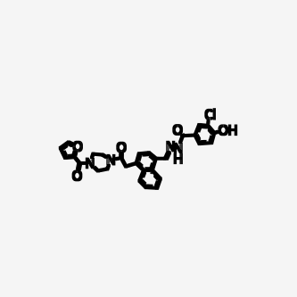 O=C(N/N=C/c1ccc(CC(=O)N2CCN(C(=O)c3ccco3)CC2)c2ccccc12)c1ccc(O)c(Cl)c1